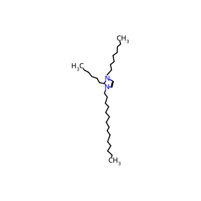 CCCCCCCCCCCCCCCN1C=CN(CCCCCCCCC)C1CCCCCC